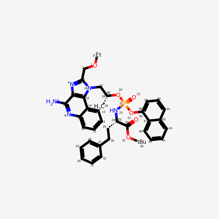 CCOCc1nc2c(N)nc3ccccc3c2n1C[C@@H](C)OP(=O)(N[C@@H](CCc1ccccc1)C(=O)OC(C)(C)C)Oc1cccc2ccccc12